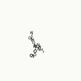 CN(C)CC=CC(=O)N1CC2CC(n3nc(-c4ccc(Oc5ccccn5)cc4)c4c(N)ncnc43)CC2C1